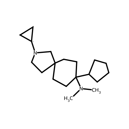 CN(C)C1(C2CCCC2)CCC2(CCN([C]3CC3)C2)CC1